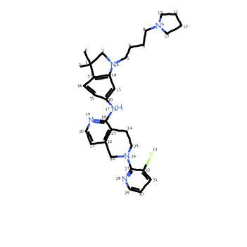 CC1(C)CN(CCCCN2CCCC2)c2cc(Nc3nccc4c3CCN(c3ncccc3F)C4)ccc21